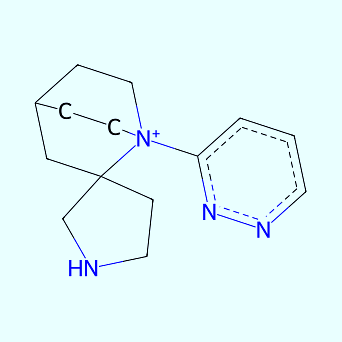 c1cnnc([N+]23CCC(CC2)CC32CCNC2)c1